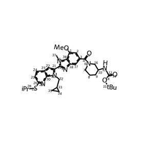 COc1cc(C(=O)N2CCCC(NC(=O)OC(C)(C)C)C2)cc2nc(-c3cc4ccc(SC(C)C)nc4n3CC3CC3)n(C)c12